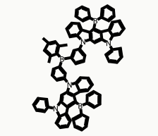 Cc1cc(C)c(B(c2cccc(-n3c4ccccc4c4c(B(c5ccccc5)c5ccccc5)c5c6ccccc6n(-c6ccccc6)c5cc43)c2)c2cccc(-n3c4ccccc4c4c(B(c5ccccc5)c5ccccc5)c5c6ccccc6n(-c6ccccc6)c5cc43)c2)c(C)c1